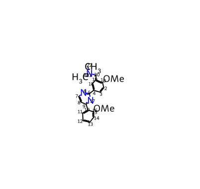 COc1ccc(-c2nccc(-c3ccccc3OC)n2)cc1CN(C)C